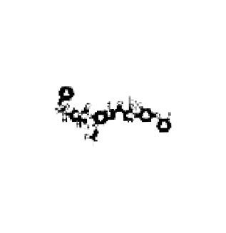 Cc1cc(Oc2ccccc2F)ccc1-n1ncc(C(=O)c2cc3cc(OCC(F)F)c(N4C(=O)[C@@H]5CC(NS(=O)(=O)Cc6ccccc6)CN5C4=O)cc3[nH]2)c1N